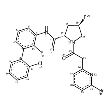 O=C(Nc1cccc(-c2ccccc2Cl)c1F)[C@@H]1C[C@@H](F)CN1C(=O)Cc1cccc(Br)n1